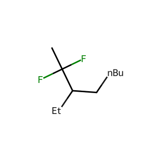 CCCCCC(CC)C(C)(F)F